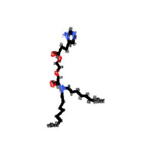 CCCCCCCCCCCCCCCCN(CCCCCCCCCCCCCCCC)C(=O)COCCOC(=O)CCc1cnc[nH]1